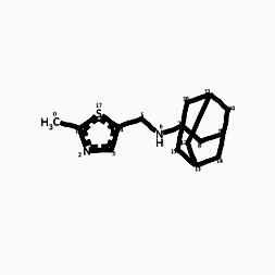 Cc1ncc(CNC23CC4CC(CC(C4)C2)C3)s1